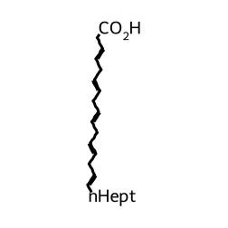 CCCCCCCC=CCC=CCC=CCC=CCC=CCC(=O)O